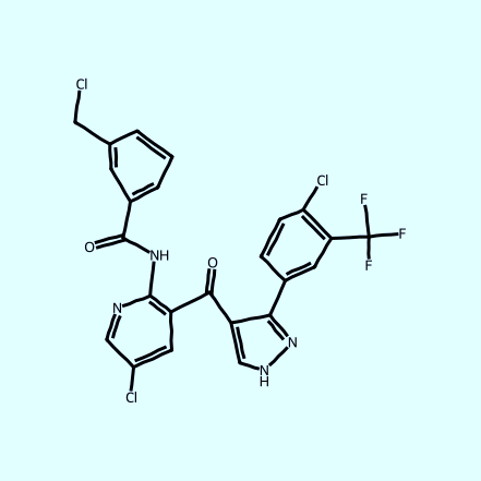 O=C(Nc1ncc(Cl)cc1C(=O)c1c[nH]nc1-c1ccc(Cl)c(C(F)(F)F)c1)c1cccc(CCl)c1